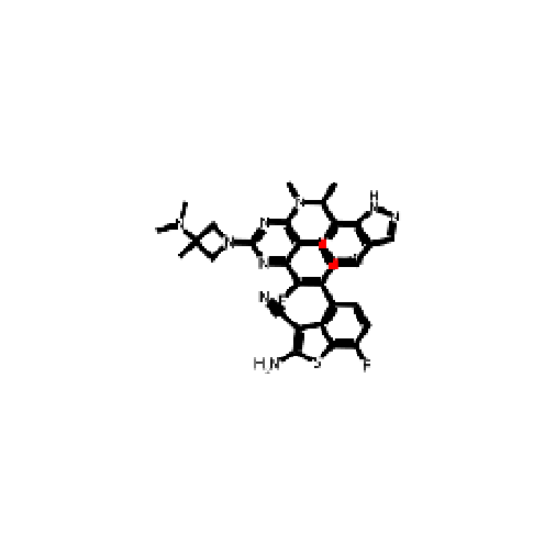 CC(c1nccc2cn[nH]c12)N(C)c1nc(N2CC(C)(N(C)C)C2)nc2c(F)c(-c3ccc(F)c4sc(N)c(C#N)c34)c(Cl)cc12